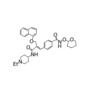 CCN1CCC(NC(=O)/C(=C/c2ccc(C(=O)NOC3CCCCO3)cc2)COc2cccc3ccccc23)CC1